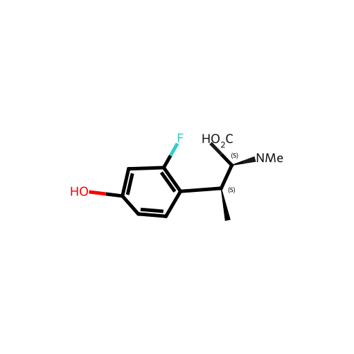 CN[C@H](C(=O)O)[C@@H](C)c1ccc(O)cc1F